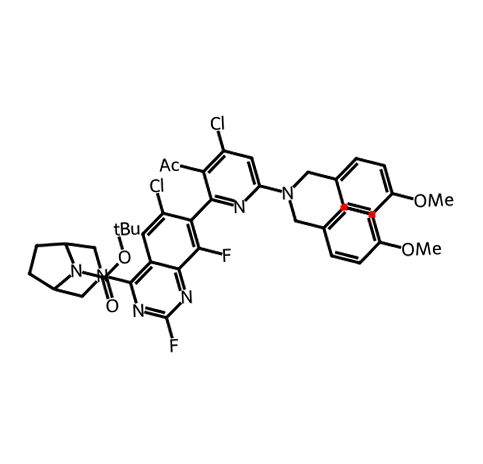 COc1ccc(CN(Cc2ccc(OC)cc2)c2cc(Cl)c(C(C)=O)c(-c3c(Cl)cc4c(N5CC6CCC(C5)N6C(=O)OC(C)(C)C)nc(F)nc4c3F)n2)cc1